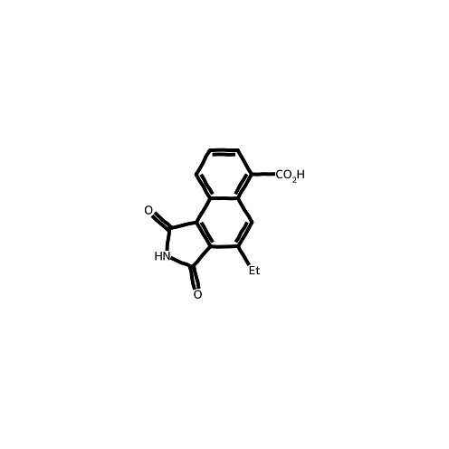 CCc1cc2c(C(=O)O)cccc2c2c1C(=O)NC2=O